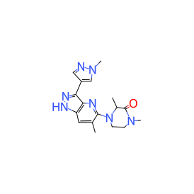 Cc1cc2[nH]nc(-c3cnn(C)c3)c2nc1N1CCN(C)C(=O)C1C